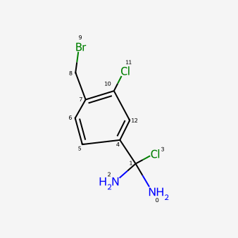 NC(N)(Cl)c1ccc(CBr)c(Cl)c1